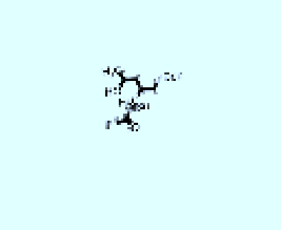 CC(C)COC(=O)C(C)C.CCCCCCCCCCCC(C)CC(C)O